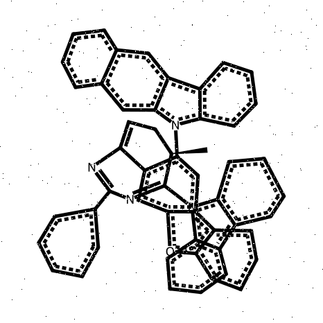 C[C@@H]1C/C=C(c2cc3oc4ccccc4c3cc2-n2c3ccccc3c3cc4ccccc4cc32)/N=C(c2ccccc2)\N=C/1n1c2ccccc2c2ccccc21